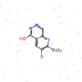 COc1nc2cnnc(O)c2cc1Br